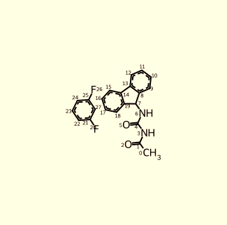 CC(=O)NC(=O)NC1c2ccccc2-c2ccccc21.Fc1cccc(F)c1